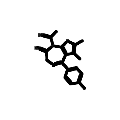 CC(=N)N1C(=N)CN=C(c2ccc(C)cc2)c2c1sc(C)c2C